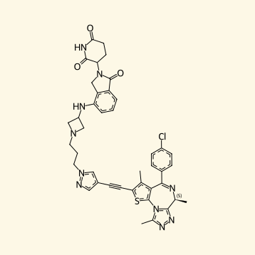 Cc1c(C#Cc2cnn(CCCN3CC(Nc4cccc5c4CN(C4CCC(=O)NC4=O)C5=O)C3)c2)sc2c1C(c1ccc(Cl)cc1)=N[C@@H](C)c1nnc(C)n1-2